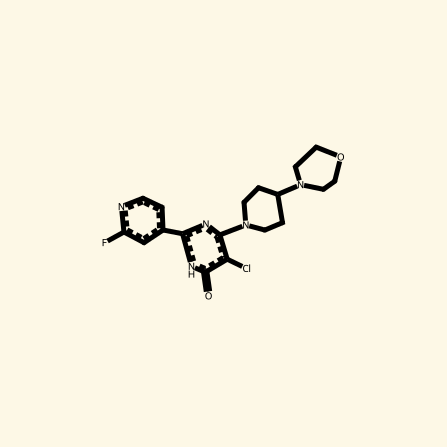 O=c1[nH]c(-c2ccnc(F)c2)nc(N2CCC(N3CCOCC3)CC2)c1Cl